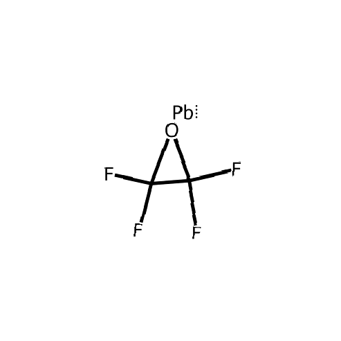 FC1(F)OC1(F)F.[Pb]